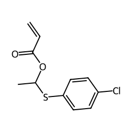 C=CC(=O)OC(C)Sc1ccc(Cl)cc1